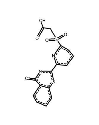 O=C(O)CS(=O)(=O)c1cccc(-c2nc(=O)c3ccccc3s2)n1